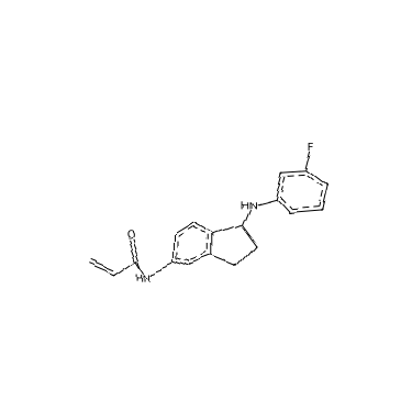 C=CC(=O)Nc1ccc2c(c1)CCC2Nc1cccc(F)c1